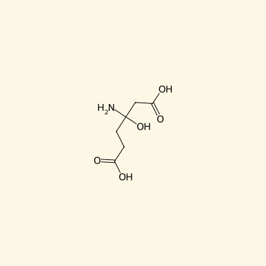 NC(O)(CCC(=O)O)CC(=O)O